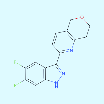 Fc1cc2[nH]nc(-c3ccc4c(n3)CCOC4)c2cc1F